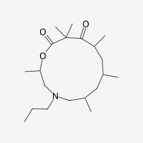 CCCN1CC(C)CC(C)CC(C)C(=O)C(C)(C)C(=O)OC(C)C1